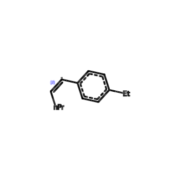 CCC/C=[C]\c1ccc(CC)cc1